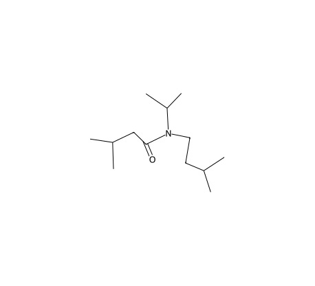 CC(C)CCN(C(=O)CC(C)C)C(C)C